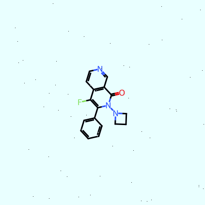 O=c1c2cnccc2c(F)c(-c2ccccc2)n1N1CCC1